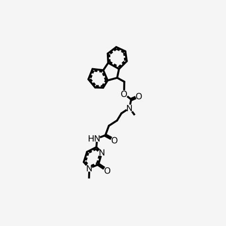 CN(CCCC(=O)Nc1ccn(C)c(=O)n1)C(=O)OCC1c2ccccc2-c2ccccc21